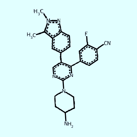 Cc1c2cc(-c3cnc(N4CCC(N)CC4)nc3-c3ccc(C#N)c(F)c3)ccc2nn1C